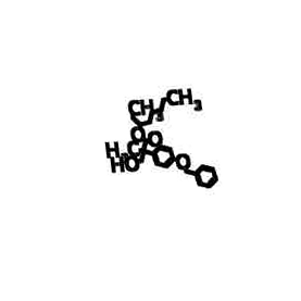 CCCCCC(CC)OC(=O)C(C)(CO)c1ccc(OCc2ccccc2)cc1